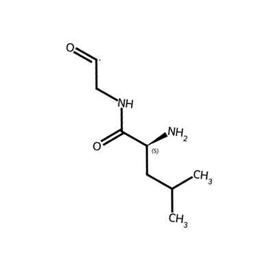 CC(C)C[C@H](N)C(=O)NC[C]=O